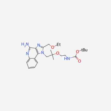 CCOCc1nc2c(N)nc3ccccc3c2n1CC(C)(C)OCCNC(=O)OC(C)(C)C